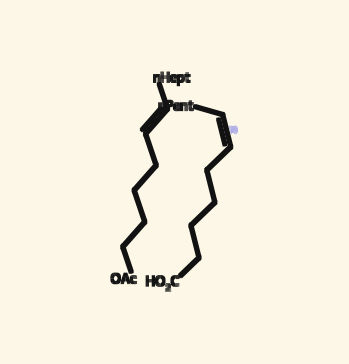 CCCCC/C=C\CCCCC(=O)O.CCCCCCCC=CCCCCOC(C)=O